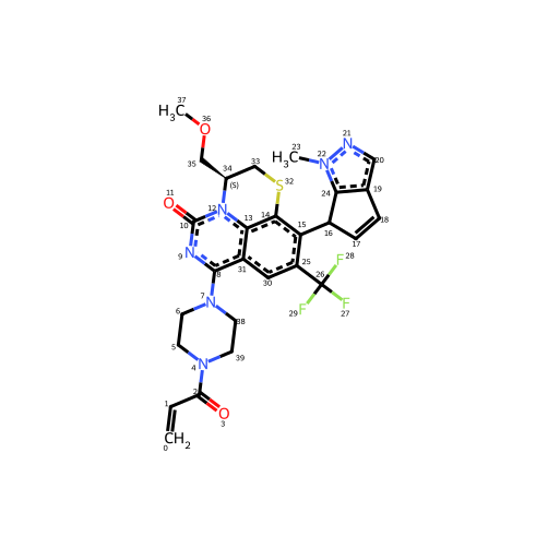 C=CC(=O)N1CCN(c2nc(=O)n3c4c(c(C5C=Cc6cnn(C)c65)c(C(F)(F)F)cc24)SC[C@@H]3COC)CC1